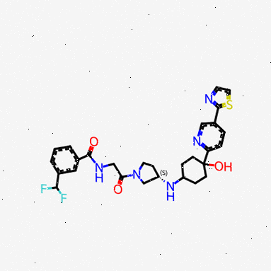 O=C(NCC(=O)N1CC[C@H](NC2CCC(O)(c3ccc(-c4nccs4)cn3)CC2)C1)c1cccc(C(F)F)c1